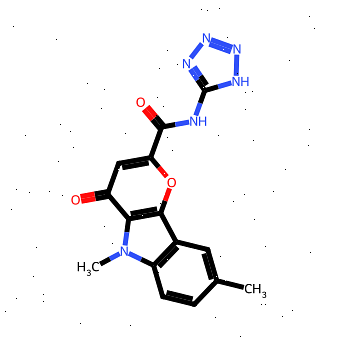 Cc1ccc2c(c1)c1oc(C(=O)Nc3nnn[nH]3)cc(=O)c1n2C